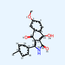 COc1ccc2c(c1)C(=O)C1=C(c3ccc(C)cc3)NC(=O)C1=C2O